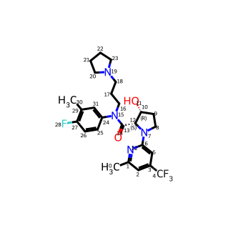 Cc1cc(C(F)(F)F)cc(N2CC[C@@H](O)[C@H]2C(=O)N(CCCN2CCCC2)c2ccc(F)c(C)c2)n1